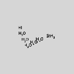 I.O.O.O.O.O.[SnH2]